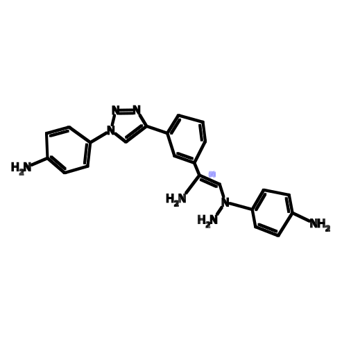 N/C(=C\N(N)c1ccc(N)cc1)c1cccc(-c2cn(-c3ccc(N)cc3)nn2)c1